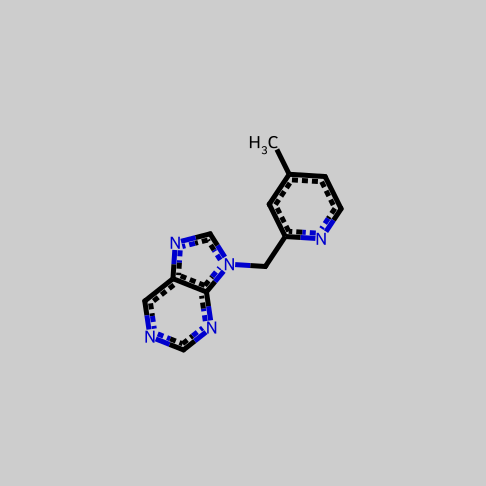 Cc1ccnc(Cn2cnc3cncnc32)c1